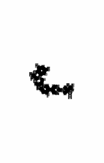 Cc1nc2cc(F)c(-c3cnc(N4CC(O)(C(F)(F)F)C4)nc3)cn2c1CN1C(=O)C(F)(F)Oc2c(F)cc(F)cc21